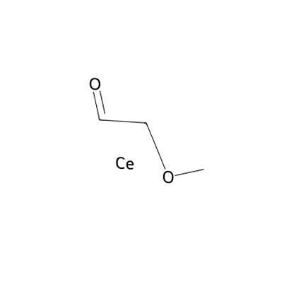 COCC=O.[Ce]